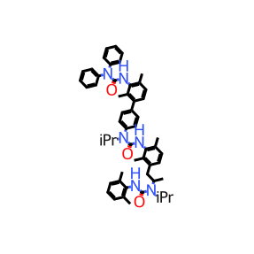 Cc1cccc(C)c1NC(=O)N(C(C)C)C(C)Cc1ccc(C)c(NC(=O)N(c2ccc(-c3ccc(C)c(NC(=O)N(c4ccccc4)c4ccccc4)c3C)cc2)C(C)C)c1C